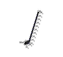 COC1=C(OC)C(=O)C(/C(C)=C(/C)CC/C=C(\C)CC/C=C(\C)CC/C=C(\C)CC/C=C(\C)CC/C=C(\C)CC/C=C(\C)CC/C=C(\C)CC/C=C(\C)CCC=C(C)C)=C(C)C1=O